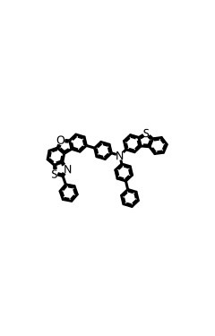 c1ccc(-c2ccc(N(c3ccc(-c4ccc5oc6ccc7sc(-c8ccccc8)nc7c6c5c4)cc3)c3ccc4sc5ccccc5c4c3)cc2)cc1